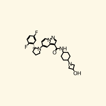 O=C(NC1CCC(N2CC(O)C2)CC1)c1cnn2ccc(N3CCC[C@@H]3c3cc(F)ccc3F)cc12